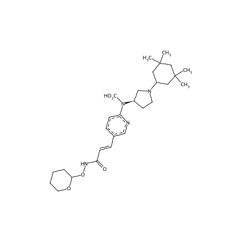 CC1(C)CC(N2CC[C@@H](N(C(=O)O)c3ccc(C=CC(=O)NOC4CCCCO4)cn3)C2)CC(C)(C)C1